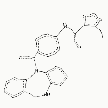 Cc1occc1C(=O)Nc1ccc(C(=O)N2c3ccccc3CNc3ccccc32)cc1